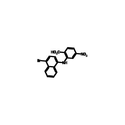 O=C(O)c1ccc([N+](=O)[O-])cc1Nc1ccc(Br)c2ccccc12